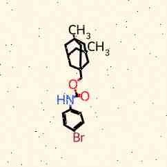 CC12CC3CC(COC(=O)Nc4ccc(Br)cc4)(C1)C[C@](C)(C3)C2